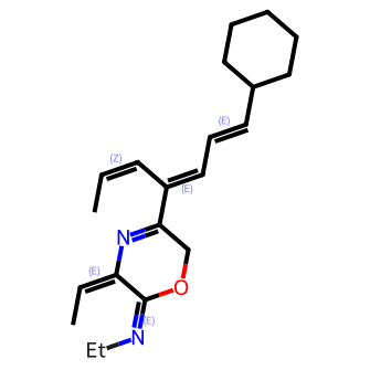 C\C=C/C(=C\C=C\C1CCCCC1)C1=NC(=C/C)/C(=N\CC)OC1